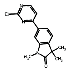 CN1C(=O)C(C)(C)c2ccc(-c3ccnc(Cl)n3)cc21